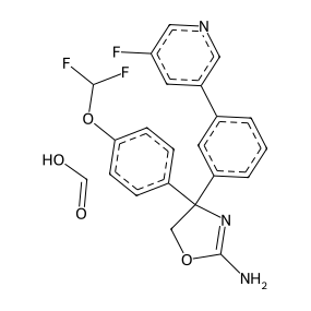 NC1=NC(c2ccc(OC(F)F)cc2)(c2cccc(-c3cncc(F)c3)c2)CO1.O=CO